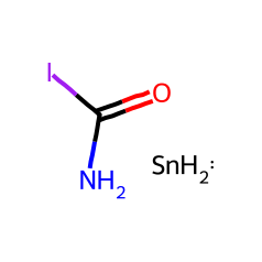 NC(=O)I.[SnH2]